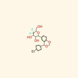 CCc1ccc(C2OCOc3ccc(C4OC(CO)C(F)(F)C(O)C4O)cc32)cc1